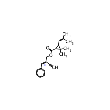 C#C/C(=C\c1ccccc1)COC(=O)C1C(C=C(C)C)C1(C)C